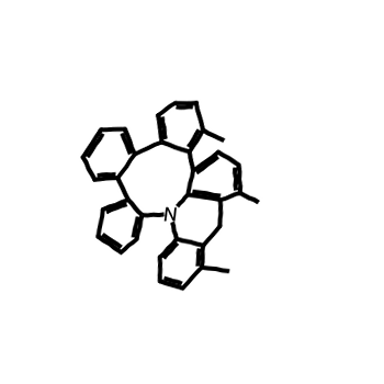 Cc1cccc2c1Cc1c(C)ccc3c4c(C)cccc4c4ccccc4c4ccccc4n-2c13